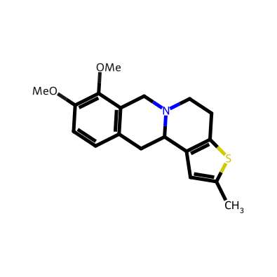 COc1ccc2c(c1OC)CN1CCc3sc(C)cc3C1C2